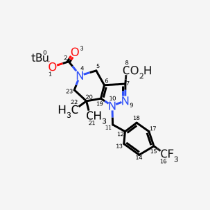 CC(C)(C)OC(=O)N1Cc2c(C(=O)O)nn(Cc3ccc(C(F)(F)F)cc3)c2C(C)(C)C1